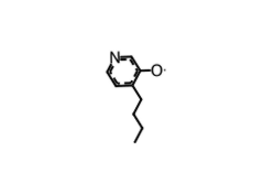 CCCCc1ccncc1[O]